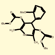 COc1ccccc1C1C(OC(=O)OC(C)(C)C)=C(C)NC(C)=C1OC(=O)OC(C)(C)C